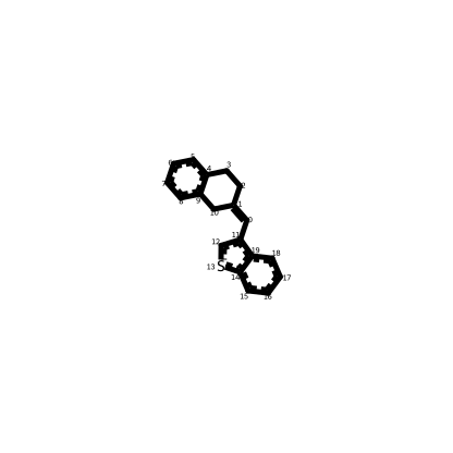 C(=C1CCc2ccccc2C1)c1csc2ccccc12